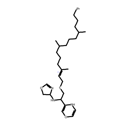 C/C(=C\CSCC(NC1COC=N1)C1=COC=CN1)CCCC(C)CCCC(C)CCCC(C)C